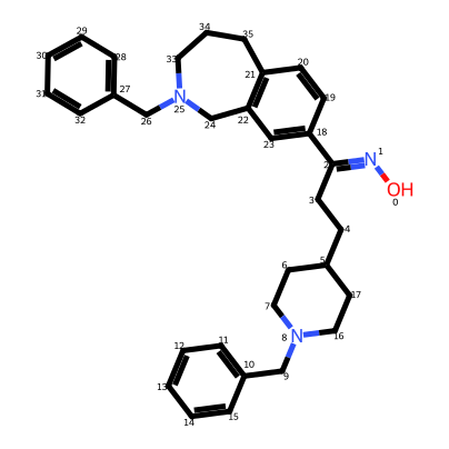 ON=C(CCC1CCN(Cc2ccccc2)CC1)c1ccc2c(c1)CN(Cc1ccccc1)CCC2